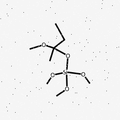 CCC(C)(OC)O[Si](OC)(OC)OC